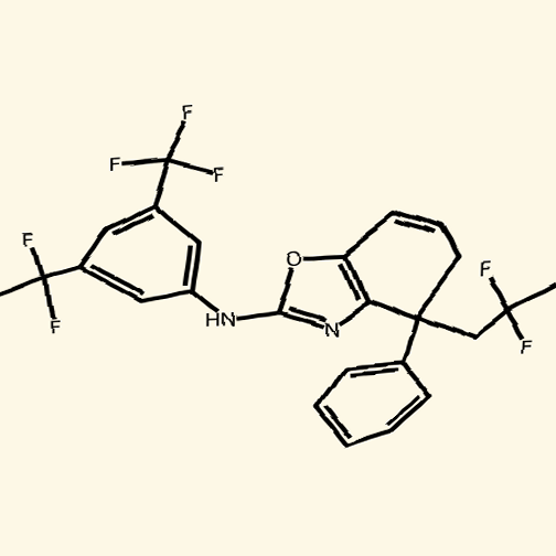 FC(F)(F)CC1(c2ccccc2)CC=Cc2oc(Nc3cc(C(F)(F)F)cc(C(F)(F)F)c3)nc21